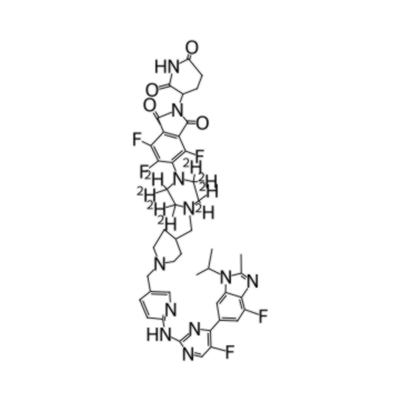 [2H]C1([2H])N(CC2CCN(Cc3ccc(Nc4ncc(F)c(-c5cc(F)c6nc(C)n(C(C)C)c6c5)n4)nc3)CC2)C([2H])([2H])C([2H])([2H])N(c2c(F)c(F)c3c(c2F)C(=O)N(C2CCC(=O)NC2=O)C3=O)C1([2H])[2H]